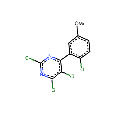 COc1ccc(Cl)c(-c2nc(Cl)nc(Cl)c2Cl)c1